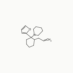 C=CCC1CCCCC1(c1ccco1)N1CCCCC1